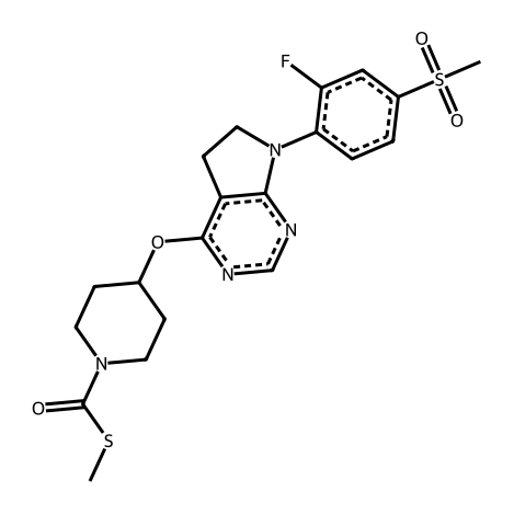 CSC(=O)N1CCC(Oc2ncnc3c2CCN3c2ccc(S(C)(=O)=O)cc2F)CC1